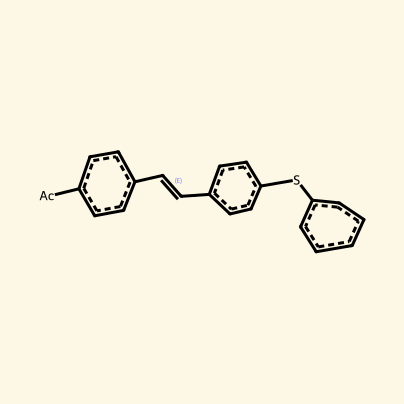 CC(=O)c1ccc(/C=C/c2ccc(Sc3ccccc3)cc2)cc1